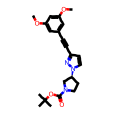 COc1cc(C#Cc2ccn([C@H]3CCN(C(=O)OC(C)(C)C)C3)n2)cc(OC)c1